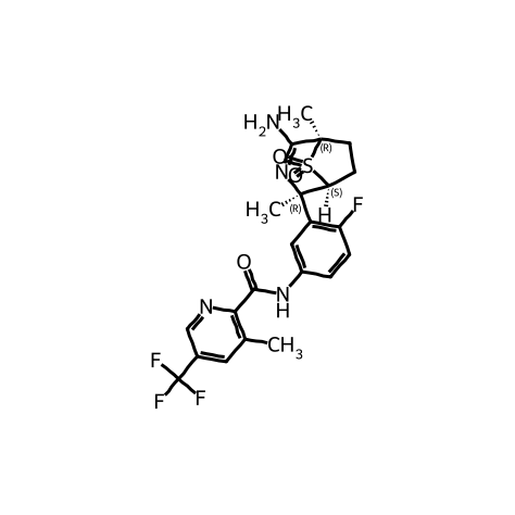 Cc1cc(C(F)(F)F)cnc1C(=O)Nc1ccc(F)c([C@@]2(C)N=C(N)[C@@]3(C)CC[C@@H]2S3(=O)=O)c1